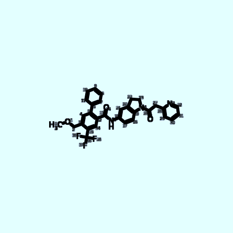 COCc1cc(-c2ccccc2)c(C(=O)Nc2ccc3c(c2)CCN3C(=O)Cc2ccccn2)cc1C(F)(F)F